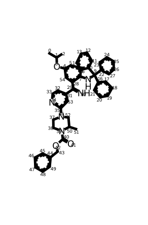 CC(C)Oc1ccc(NC(c2ccccc2)(c2ccccc2)c2ccccc2)c(C(=N)c2ccnc(N3CCN(C(=O)OCc4ccccc4)C(C)C3)c2)c1